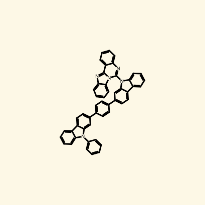 c1ccc(-n2c3ccccc3c3ccc(-c4ccc(-c5ccc6c7ccccc7n(-c7nc8ccccc8c8nc9ccccc9n78)c6c5)cc4)cc32)cc1